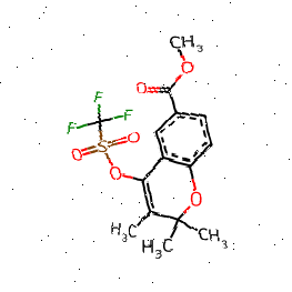 COC(=O)c1ccc2c(c1)C(OS(=O)(=O)C(F)(F)F)=C(C)C(C)(C)O2